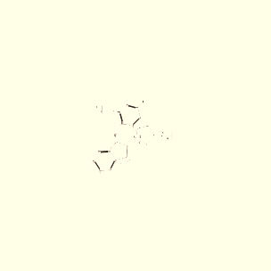 N#Cc1cc(Cl)ccc1O[C@@H]1c2ccccc2C[C@H]1N1CC[C@H](N)C1